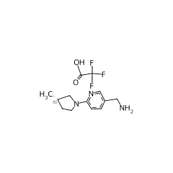 C[C@H]1CCN(c2ccc(CN)cn2)C1.O=C(O)C(F)(F)F